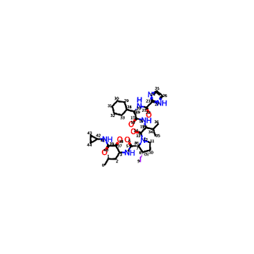 CCCC(NC(=O)[C@@H]1[C@@H](I)CCN1C(=O)[C@@H](NC(=O)[C@@H](NC(=O)c1ncc[nH]1)C1CCCCC1)C(C)C)C(=O)C(=O)NC1CC1